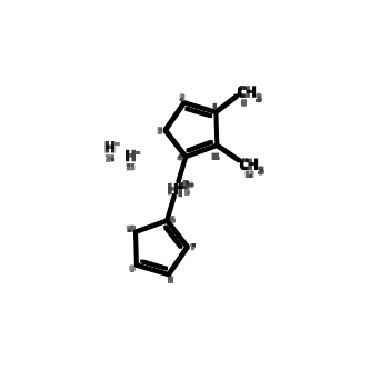 CC1=CC[C]([Hf+2][C]2=CC=CC2)=C1C.[H-].[H-]